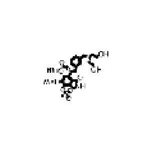 COc1cc(-c2cc3cc(CN(CCO)CCO)ccc3n2C(=O)OC(C)(C)C)c2c(c1OS(C)(=O)=O)CNC2=O